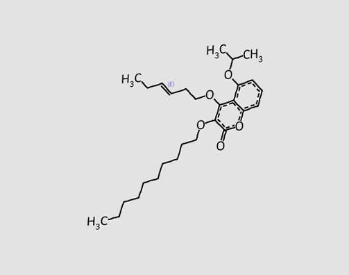 CC/C=C/CCOc1c(OCCCCCCCCCC)c(=O)oc2cccc(OC(C)C)c12